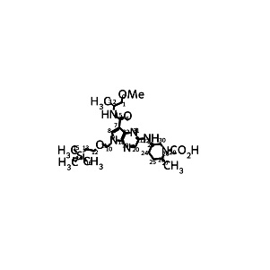 COC[C@H](C)NC(=O)c1cn(COCC[Si](C)(C)C)c2ncc(NC3CCC(C)N(C(=O)O)C3)nc12